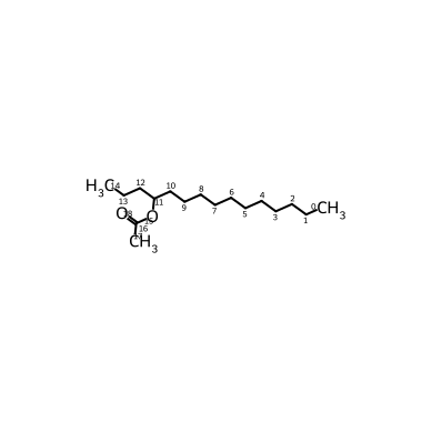 CCCCCCCCCCCC(CCC)OC(C)=O